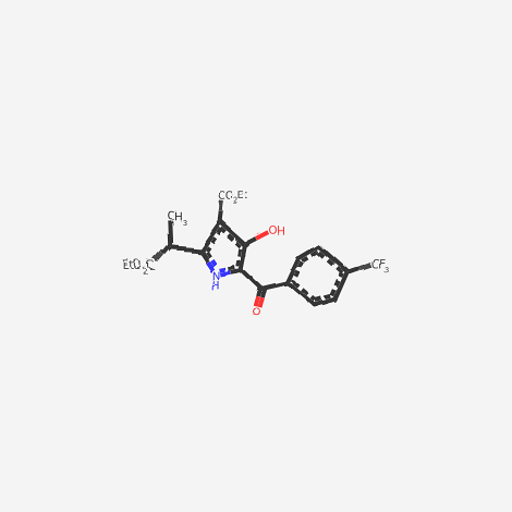 CCOC(=O)c1c(C(C)C(=O)OCC)[nH]c(C(=O)c2ccc(C(F)(F)F)cc2)c1O